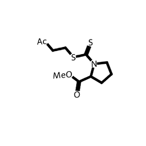 COC(=O)C1CCCN1C(=S)SCCC(C)=O